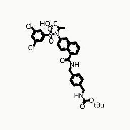 CC(C(=O)O)N(c1ccc2c(C(=O)NCc3ccc(CNC(=O)OC(C)(C)C)cc3)cccc2c1)S(=O)(=O)c1cc(Cl)cc(Cl)c1